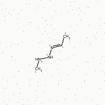 CC=NNNC